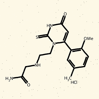 COc1ccc(C)cc1-c1cc(=O)[nH]c(=S)n1CCNCC(N)=O.Cl